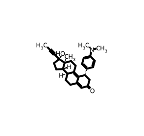 CC#C[C@@]1(O)CC[C@H]2[C@@H]3CCC4=CC(=O)C[C@@H](c5ccc(N(C)C)cc5)C4=C3CC[C@@]21C